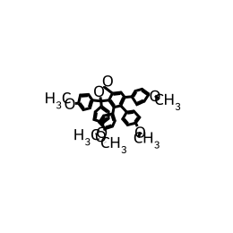 COc1ccc(-c2cc3c(c(-c4ccc(OC)cc4)c2-c2ccc(OC)cc2)C(c2ccc(OC)cc2)(c2ccc(OC)cc2)OC3=O)cc1